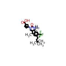 CC(C)C1=CN(C23CCC(C(=O)O)(C2)C3)C(=O)N[C@@]1(C)c1ccc(CCC(C)(C)C)c(C(F)(F)F)c1